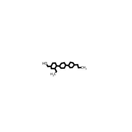 CCCC1CCC(C2CCC(C3CCC(CO)CC3CC)CC2)CC1